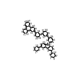 c1ccc(-c2ccc3c(c2)c2cc(-c4ccccc4)ccc2n3-c2cccc(-c3cccc(-c4cccc(-c5ccc6c7ccccc7c7ccccc7c6c5)c4)c3)c2)cc1